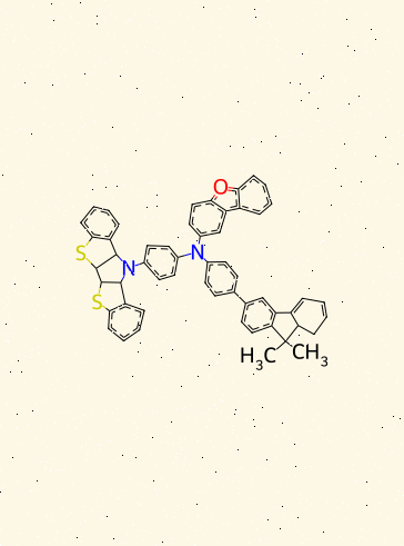 CC1(C)c2ccc(-c3ccc(N(c4ccc(N5C6c7ccccc7SC6C6Sc7ccccc7C65)cc4)c4ccc5oc6ccccc6c5c4)cc3)cc2C2=CC=CCC21